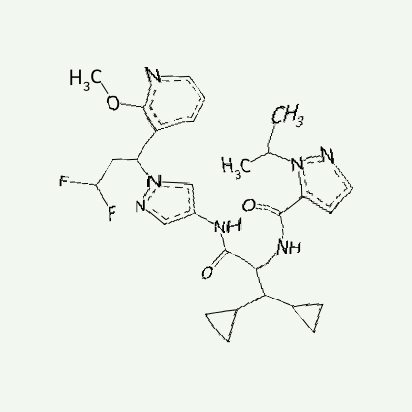 COc1ncccc1C(CC(F)F)n1cc(NC(=O)C(NC(=O)c2ccnn2C(C)C)C(C2CC2)C2CC2)cn1